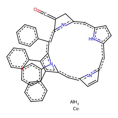 O=C=C1Cc2cc3ccc(cc4nc(cc5c(-c6ccccc6)c(-c6ccccc6)c(c(-c6ccccc6)c1n2)n5-c1ccccc1)C=C4)[nH]3.[AlH3].[Co]